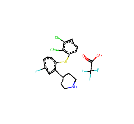 Fc1ccc(Sc2cccc(Cl)c2Cl)c(C2CCNCC2)c1.O=C(O)C(F)(F)F